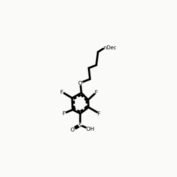 CCCCCCCCCCCCCCOc1c(F)c(F)c(S(=O)O)c(F)c1F